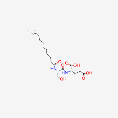 CCCCCCCCCC(=O)N[C@@H](CO)C(=O)N[C@H](CCC(=O)O)C(=O)O